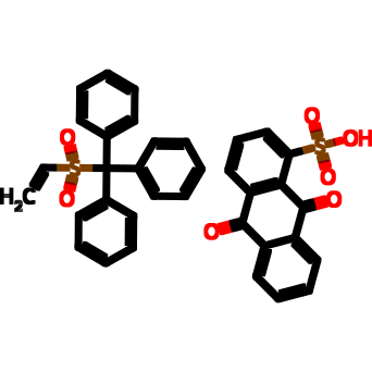 C=CS(=O)(=O)C(c1ccccc1)(c1ccccc1)c1ccccc1.O=C1c2ccccc2C(=O)c2c1cccc2S(=O)(=O)O